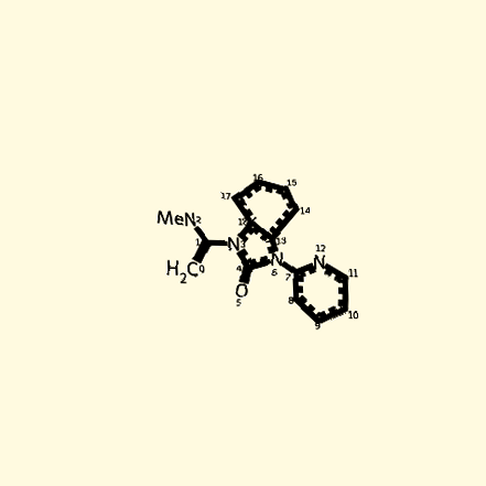 C=C(NC)n1c(=O)n(-c2ccccn2)c2ccccc21